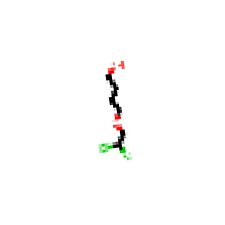 OCCCCOCC(Cl)Cl